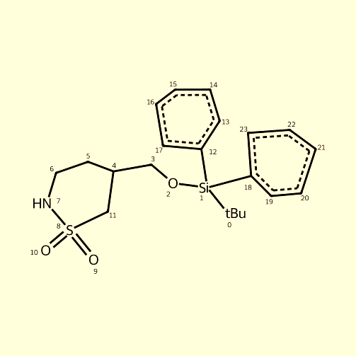 CC(C)(C)[Si](OCC1CCNS(=O)(=O)C1)(c1ccccc1)c1ccccc1